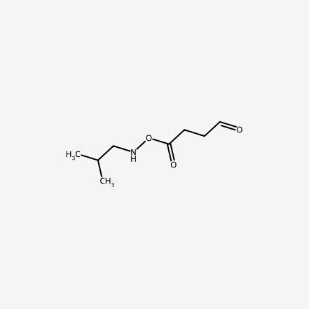 CC(C)CNOC(=O)CCC=O